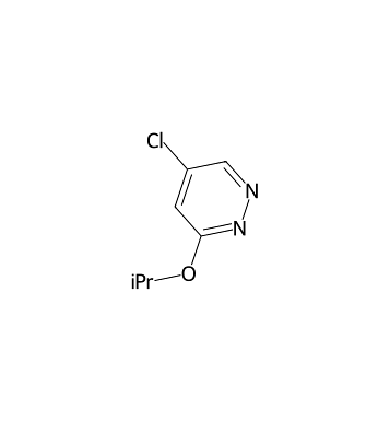 CC(C)Oc1cc(Cl)cnn1